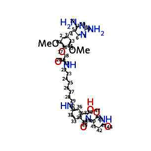 COc1cc(Cc2cnc(N)nc2N)cc(OC)c1OCC(=O)NCCCCCCCCNc1ccc2c(c1)C(O)N(C1CCC(=O)NC1=O)C2=O